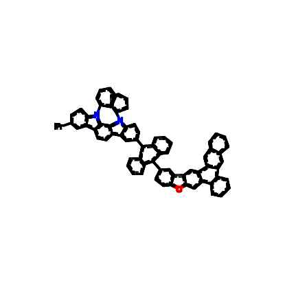 CC(C)c1ccc2c(c1)c1ccc3c4cc(-c5c6ccccc6c(-c6ccc7oc8cc9c%10ccccc%10c%10cc%11ccccc%11cc%10c9cc8c7c6)c6ccccc56)ccc4n(-c4ccccc4)c3c1n2-c1ccccc1